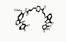 COc1cc2ncnc(Nc3ccc(F)c(Cl)c3)c2cc1NC(=O)/C=C/CN1CCN(C(=O)CCSc2cccc3c2CN(C2CCC(=O)NC2=O)C3=O)CC1